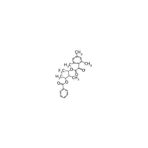 Cc1cc(C)c(C(=O)C(=O)OC(C(C)C(C)OC(=O)c2ccccc2)C(F)(F)F)c(C)c1